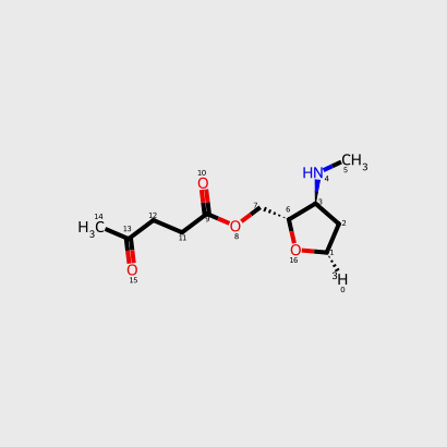 [3H][C@H]1C[C@H](NC)[C@@H](COC(=O)CCC(C)=O)O1